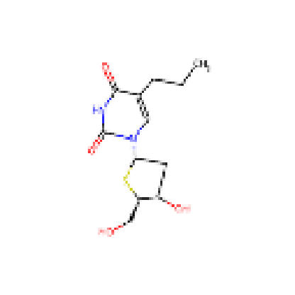 CCCc1cn([C@@H]2CC(O)[C@@H](CO)S2)c(=O)[nH]c1=O